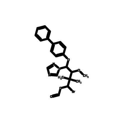 COC(C(Oc1ccc(-c2ccccc2)cc1)n1cncn1)C(C)(C)C(Br)OC=O